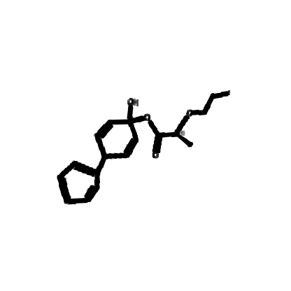 CCCO[C@@H](C)C(=O)OC1(O)C=CC(c2ccccc2)C=C1